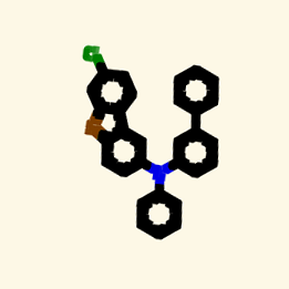 Clc1ccc2c(c1)sc1ccc(N(c3ccccc3)c3cccc(-c4ccccc4)c3)cc12